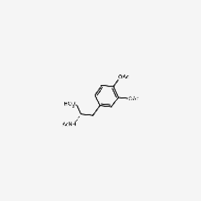 CC(=O)N[C@@H](Cc1ccc(OC(C)=O)c(OC(C)=O)c1)C(=O)O